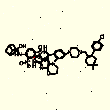 CC1(C)CCC(CN2CCN(c3ccc(C(=O)NS(=O)(=O)c4ccc(NCC5C6CC5CC(C)(O)C6)c([N+](=O)[O-])c4)c(N4CCCOc5nc6[nH]ccc6cc54)c3)CC2)=C(c2ccc(Cl)cc2)C1